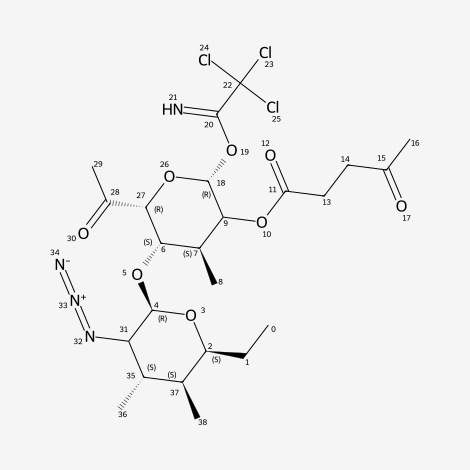 CC[C@@H]1O[C@H](O[C@H]2[C@H](C)C(OC(=O)CCC(C)=O)[C@@H](OC(=N)C(Cl)(Cl)Cl)O[C@H]2C(C)=O)C(N=[N+]=[N-])[C@@H](C)[C@@H]1C